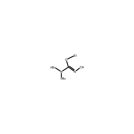 CCCCN(CCCC)C(=NC#N)OCC